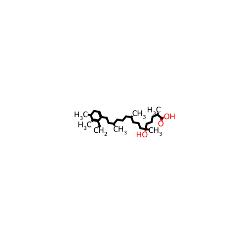 C=CC1=C(C)C(C)CC=C1CCC(C)CCCC(C)CCCC(C)(O)CCCC(C)C(=O)O